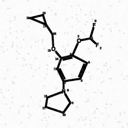 FC(F)Oc1ccc(N2CCCC2)cc1OCC1CC1